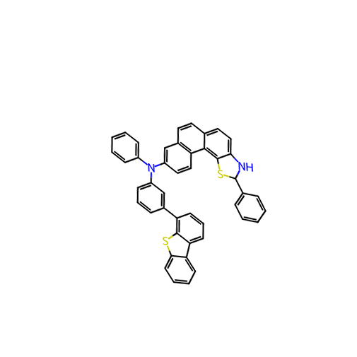 c1ccc(C2Nc3ccc4ccc5cc(N(c6ccccc6)c6cccc(-c7cccc8c7sc7ccccc78)c6)ccc5c4c3S2)cc1